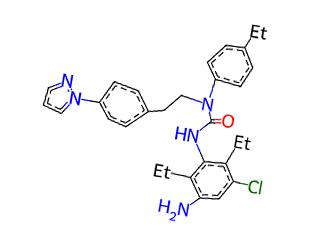 CCc1ccc(N(CCc2ccc(-n3cccn3)cc2)C(=O)Nc2c(CC)c(N)cc(Cl)c2CC)cc1